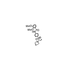 C=CC(N1CCSCC1)S(=O)(=O)c1ccc(NC(=O)c2cccc(OC)c2OC)cc1